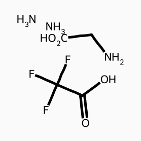 N.N.NCC(=O)O.O=C(O)C(F)(F)F